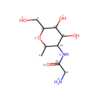 CC1OC(CO)C(O)C(O)C1NC(=O)CN